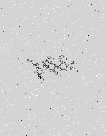 COc1nc(C(C)C)ccc1-c1nc2c(C)cn([C@@H]3CN(C)C[C@H]3OCCF)c2cc1C